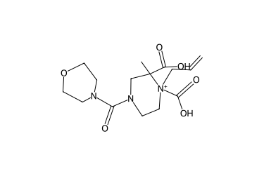 C=CC[N+]1(C(=O)O)CCN(C(=O)N2CCOCC2)CC1(C)C(=O)O